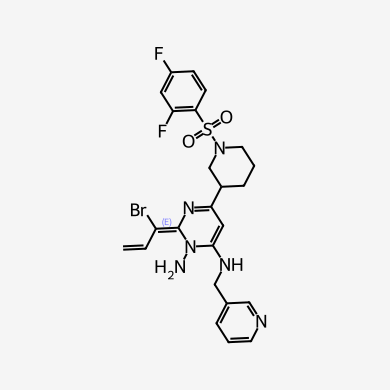 C=C/C(Br)=C1/N=C(C2CCCN(S(=O)(=O)c3ccc(F)cc3F)C2)C=C(NCc2cccnc2)N1N